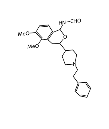 COc1ccc2c(c1OC)CC(C1CCN(CCc3ccccc3)CC1)OC2NC=O